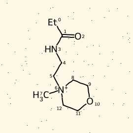 CCC(=O)NCC[N+]1(C)CCOCC1